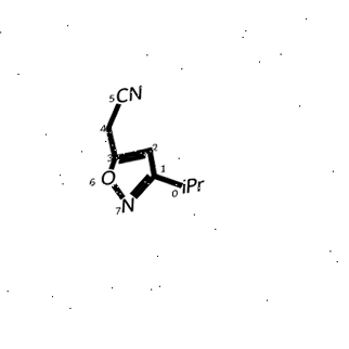 CC(C)c1cc(CC#N)on1